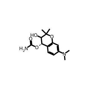 CN(C)c1ccc2c(c1)OC(C)(C)C(O)[C@H]2OC(N)=O